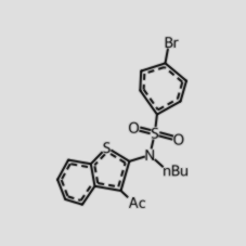 CCCCN(c1sc2ccccc2c1C(C)=O)S(=O)(=O)c1ccc(Br)cc1